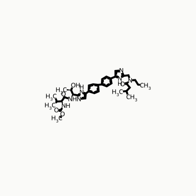 CCCN(Cc1ncc(-c2ccc(-c3ccc(-c4cnc([C@@H](NC(=O)[C@@H](NC(=O)OC)C(C)C)[C@@H](C)O)[nH]4)cc3)cc2)[nH]1)C(=O)CC(C)C